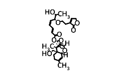 CC1=C[C@H]2O[C@@H]3C[C@@H](OC(=O)/C=C/C=C\C(OCCC4=CCOC4=O)C(C)O)[C@](C)([C@@]2(CO)CC1)[C@]31CO1